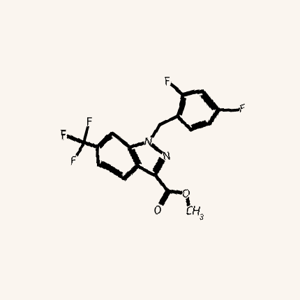 COC(=O)c1nn(Cc2ccc(F)cc2F)c2cc(C(F)(F)F)ccc12